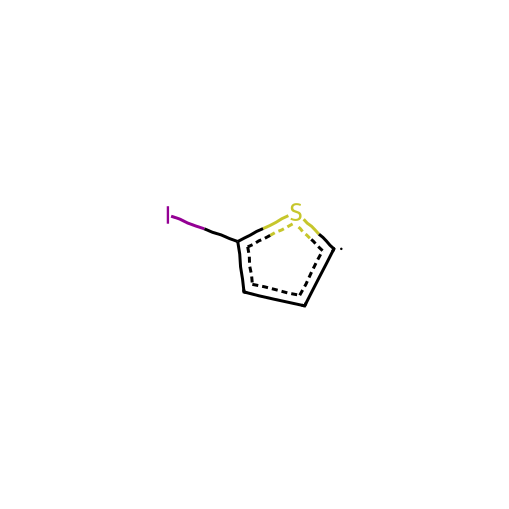 Ic1cc[c]s1